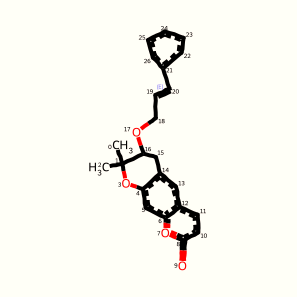 CC1(C)Oc2cc3oc(=O)ccc3cc2CC1OC/C=C/c1ccccc1